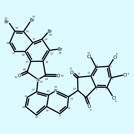 O=C1c2c(Cl)c(Cl)c(Cl)c(Cl)c2C(=O)C1c1ccc2cccc(N3C(=O)c4c(Br)c(Br)c5c(Br)c(Br)ccc5c4C3=O)c2n1